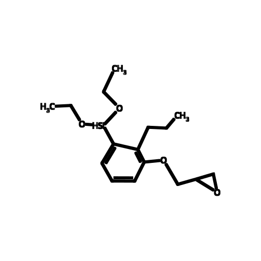 CCCc1c(OCC2CO2)cccc1[SiH](OCC)OCC